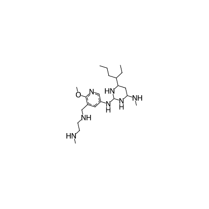 CCCC(CC)C1CC(NC)NC(Nc2cnc(OC)c(CNCCNC)c2)N1